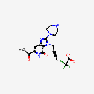 CC#CCn1c(N2CCNCC2)nc2cc(C(=O)OC)[nH]c(=O)c21.O=C(O)C(F)(F)F